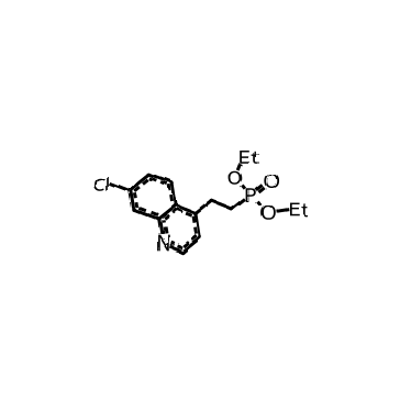 CCOP(=O)(CCc1ccnc2cc(Cl)ccc12)OCC